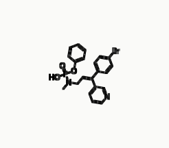 CN(CC=C(c1ccc(Br)cc1)c1cccnc1)P(=O)(O)Oc1ccccc1